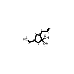 C=CCC1CC(CC#N)CC1(O)O